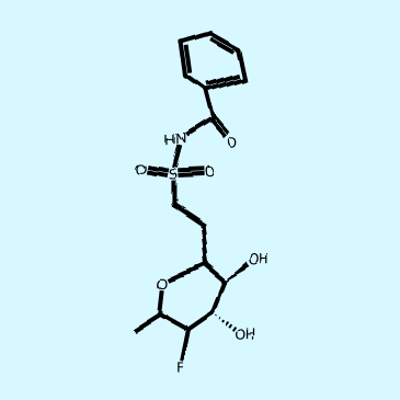 CC1OC(CCS(=O)(=O)NC(=O)c2ccccc2)[C@@H](O)[C@H](O)C1F